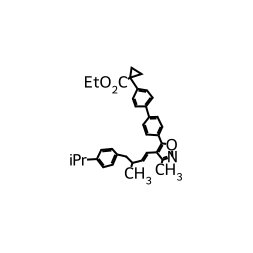 CCOC(=O)C1(c2ccc(-c3ccc(-c4onc(C)c4C=CC(C)Cc4ccc(C(C)C)cc4)cc3)cc2)CC1